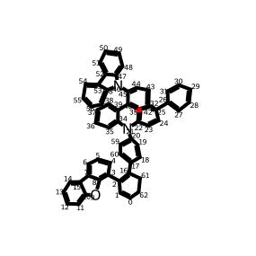 C1=CC(c2cccc3c2oc2ccccc23)=C(c2ccc(N(c3ccc(-c4ccccc4)cc3)c3ccccc3-c3ccccc3-n3c4ccccc4c4ccccc43)cc2)CC1